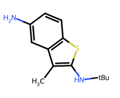 Cc1c(NC(C)(C)C)sc2ccc(N)cc12